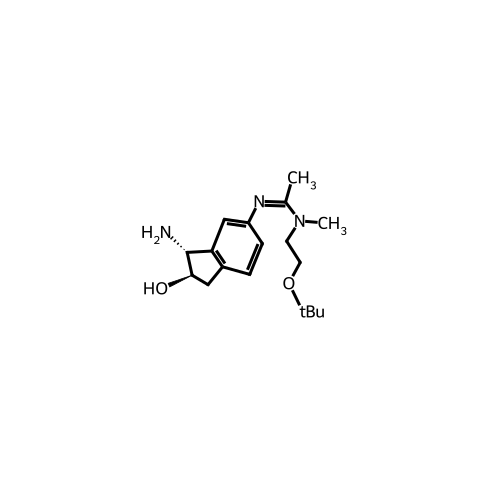 CC(=Nc1ccc2c(c1)[C@@H](N)[C@H](O)C2)N(C)CCOC(C)(C)C